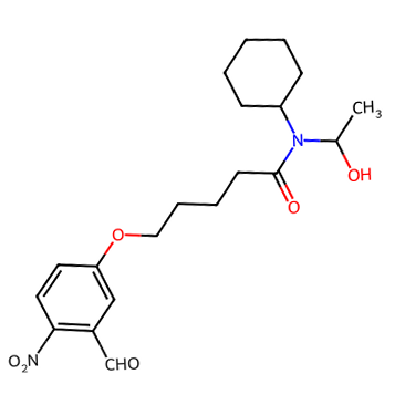 CC(O)N(C(=O)CCCCOc1ccc([N+](=O)[O-])c(C=O)c1)C1CCCCC1